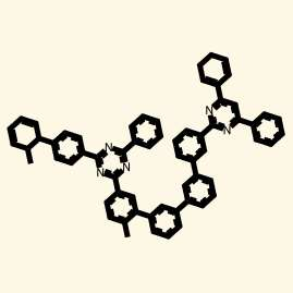 Cc1ccc(-c2nc(-c3ccccc3)nc(-c3ccc(C4C=CC=CC4C)cc3)n2)cc1-c1cccc(-c2cccc(-c3cccc(-c4nc(C5=CCCC=C5)cc(-c5ccccc5)n4)c3)c2)c1